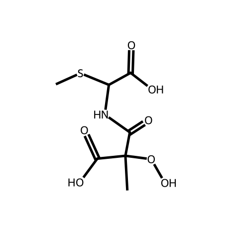 CSC(NC(=O)C(C)(OO)C(=O)O)C(=O)O